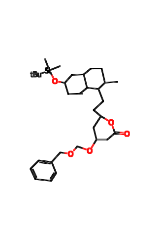 CC1CCC2CC(O[Si](C)(C)C(C)(C)C)C[CH]C2C1CCC1CC(OCOCc2ccccc2)CC(=O)O1